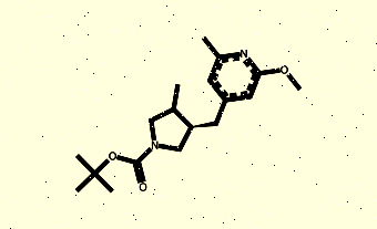 COc1cc(C[C@H]2CN(C(=O)OC(C)(C)C)CC2C)cc(C)n1